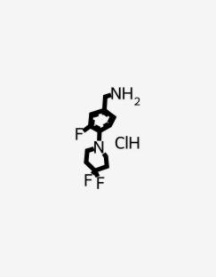 Cl.NCc1ccc(N2CCC(F)(F)CC2)c(F)c1